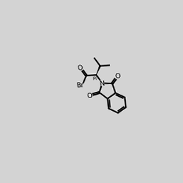 CC(C)[C@H](C(=O)Br)N1C(=O)c2ccccc2C1=O